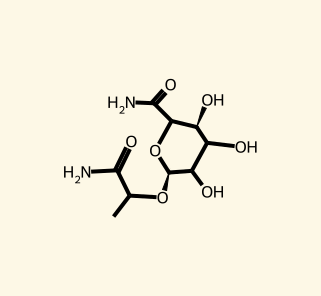 CC(O[C@H]1OC(C(N)=O)[C@@H](O)C(O)C1O)C(N)=O